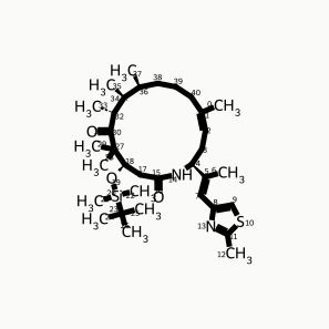 C/C1=C/C[C@@H](/C(C)=C/c2csc(C)n2)NC(=O)C[C@H](O[Si](C)(C)C(C)(C)C)C(C)(C)C(=O)[C@H](C)[C@@H](C)[C@@H](C)CCC1